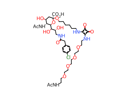 CC(=O)NCCOCCOCCOCCOCCNc1c(NCCCCCCO[C@]2(C(=O)O)C[C@H](O)[C@@H](NC(C)=O)[C@H]([C@H](O)[C@H](O)CNC(=O)Cc3ccc(Cl)cc3)O2)c(=O)c1=O